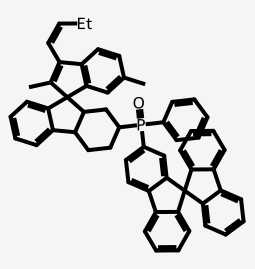 CC/C=C\C1=C(C)C2(c3cc(C)ccc31)c1ccccc1C1CCC(P(=O)(c3ccccc3)c3ccc4c(c3)C3(c5ccccc5-c5ccccc53)c3ccccc3-4)CC12